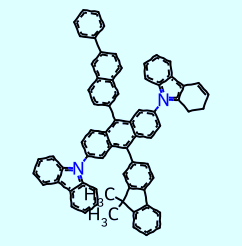 CC1(C)c2ccccc2-c2ccc(-c3c4ccc(-n5c6c(c7ccccc75)C=CCC6)cc4c(-c4ccc5cc(-c6ccccc6)ccc5c4)c4ccc(-n5c6ccccc6c6ccccc65)cc34)cc21